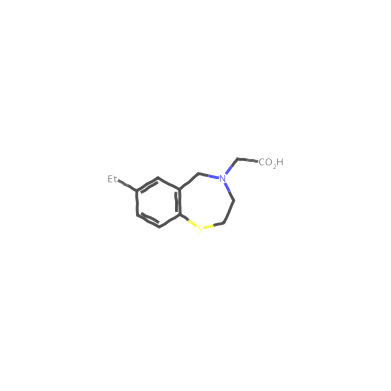 CCc1ccc2c(c1)CN(CC(=O)O)CCS2